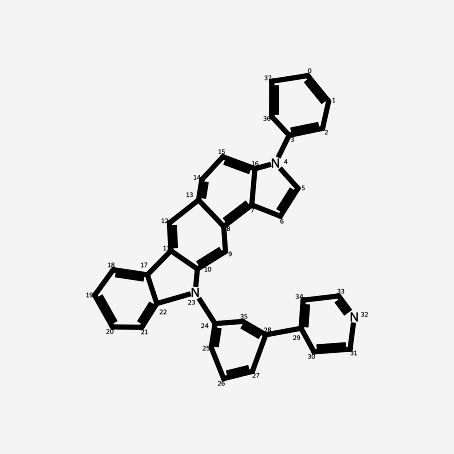 c1ccc(-n2ccc3c4cc5c(cc4ccc32)c2ccccc2n5-c2cccc(-c3ccncc3)c2)cc1